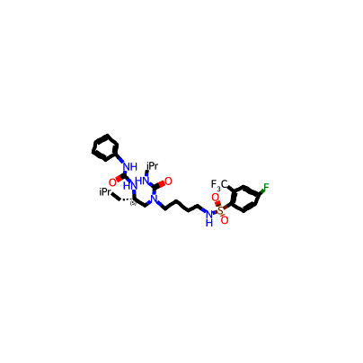 CC(C)C[C@@H](CN(CCCCNS(=O)(=O)c1ccc(F)cc1C(F)(F)F)C(=O)NC(C)C)NC(=O)Nc1ccccc1